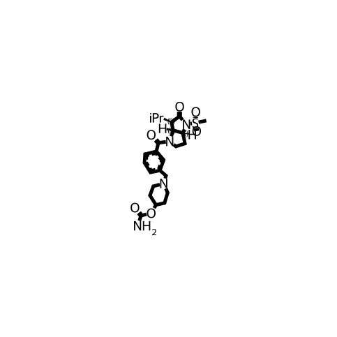 CC(C)[C@H]1C(=O)N(S(C)(=O)=O)[C@H]2CCN(C(=O)c3cccc(CN4CCC(OC(N)=O)CC4)c3)[C@H]12